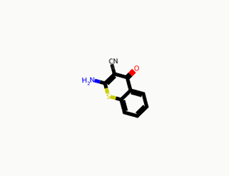 N#Cc1c(N)sc2ccccc2c1=O